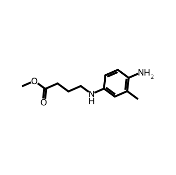 COC(=O)CCCNc1ccc(N)c(C)c1